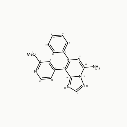 COc1cc(-c2c(-c3ccccc3)nc(N)n3ncnc23)ccn1